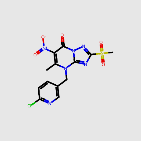 Cc1c([N+](=O)[O-])c(=O)n2nc(S(C)(=O)=O)nc2n1Cc1ccc(Cl)nc1